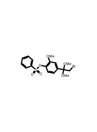 COc1cc(C(CBr)(OC)OC)ccc1OS(=O)(=O)c1ccccc1